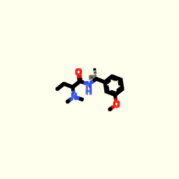 CCC(C(=O)N[C@H](C)c1cccc(OC)c1)N(C)C